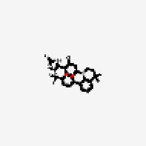 CC1(C)CCN(c2ccc(-c3noc(=O)[nH]3)c(Cl)c2)c2c(-c3ccc(C(F)(F)F)nc3)cccc21